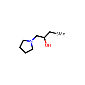 CSCC(O)CN1CCCC1